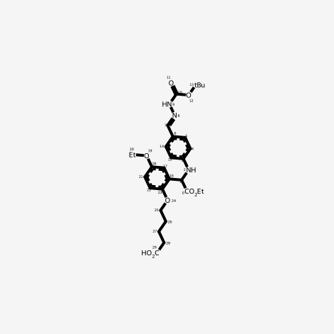 CCOC(=O)C(Nc1ccc(C=NNC(=O)OC(C)(C)C)cc1)c1cc(OCC)ccc1OCCCCC(=O)O